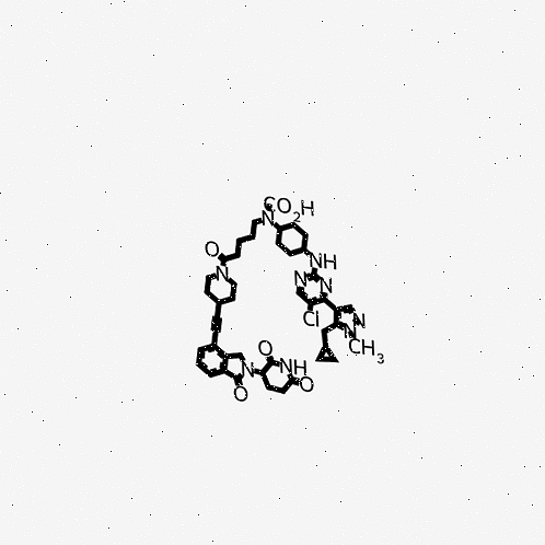 Cn1ncc(-c2nc(NC3CCC(N(CCCCC(=O)N4CCC(C#Cc5cccc6c5CN(C5CCC(=O)NC5=O)C6=O)CC4)C(=O)O)CC3)ncc2Cl)c1CC1CC1